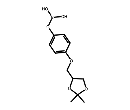 CC1(C)OCC(COc2ccc(OB(O)O)cc2)O1